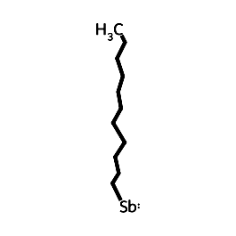 CCCCCCCCCC[CH2][Sb]